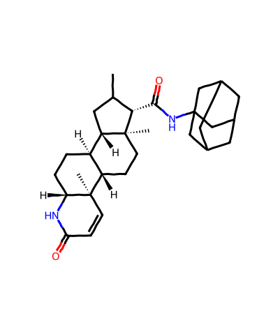 CC1C[C@H]2[C@@H]3CC[C@H]4NC(=O)C=C[C@]4(C)[C@H]3CC[C@]2(C)[C@H]1C(=O)NC12CC3CC(CC(C3)C1)C2